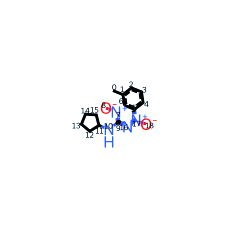 Cc1cccc2c1[n+]([O-])c(NC1CCCC1)n[n+]2[O-]